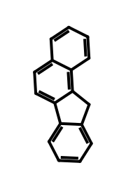 c1ccc2c(c1)Cc1c-2ccc2ccccc12